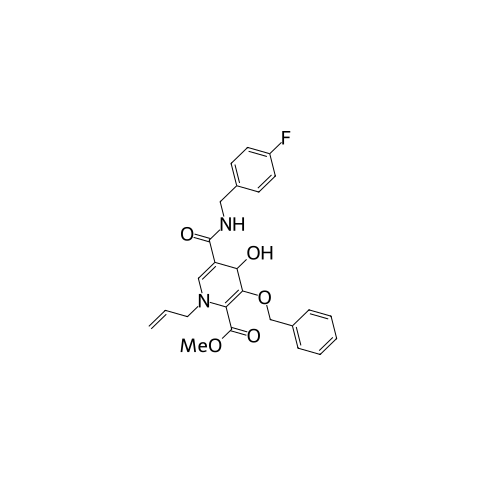 C=CCN1C=C(C(=O)NCc2ccc(F)cc2)C(O)C(OCc2ccccc2)=C1C(=O)OC